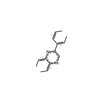 C/C=C\C(=C/C)c1cnc(=C/C)/c(=C\C)n1